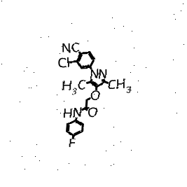 Cc1nn(-c2ccc(C#N)c(Cl)c2)c(C)c1OCC(=O)Nc1ccc(F)cc1